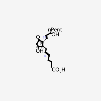 CCCCC[C@H](O)/C=C/[C@H]1C(=O)C[C@H](O)[C@@H]1C/C=C/CCCC(=O)O